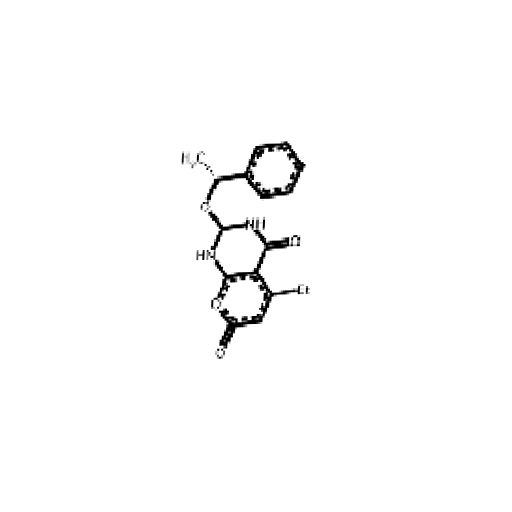 CCc1cc(=O)oc2c1C(=O)NC(O[C@H](C)c1ccccc1)N2